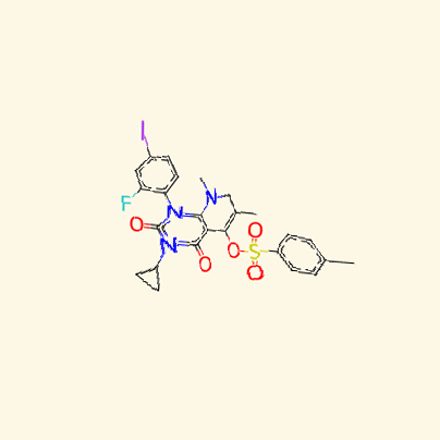 CC1=C(OS(=O)(=O)c2ccc(C)cc2)c2c(n(-c3ccc(I)cc3F)c(=O)n(C3CC3)c2=O)N(C)C1